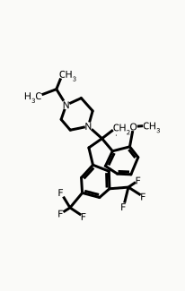 [CH2]C(Cc1cc(C(F)(F)F)cc(C(F)(F)F)c1)(c1ccccc1OC)N1CCN(C(C)C)CC1